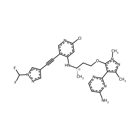 Cc1nn(C)c(OCC[C@H](C)Nc2cc(Cl)ncc2C#Cc2cnn(C(F)F)c2)c1-c1nccc(N)n1